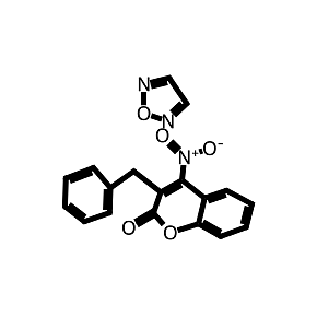 O=c1oc2ccccc2c([N+](=O)[O-])c1Cc1ccccc1.c1cnon1